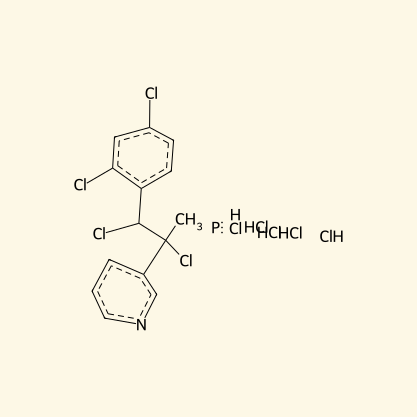 CC(Cl)(c1cccnc1)C(Cl)c1ccc(Cl)cc1Cl.Cl.Cl.Cl.Cl.Cl.[P]